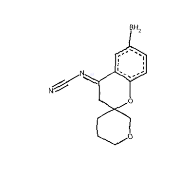 Bc1ccc2c(c1)/C(=N/C#N)CC1(CCCOC1)O2